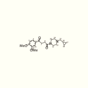 COc1ccc(C(=O)CCC(=O)N2CCN(CC3CC3)CC2)cc1OC